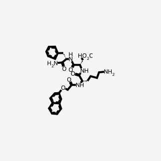 NCCCC[C@H](NC(=O)COc1ccc2ccccc2c1)C(=O)N[C@@H](CC(=O)O)C(=O)N[C@@H](Cc1ccccc1)C(N)=O